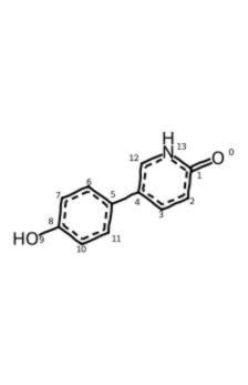 O=c1ccc(-c2ccc(O)cc2)c[nH]1